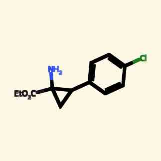 CCOC(=O)C1(N)CC1c1ccc(Cl)cc1